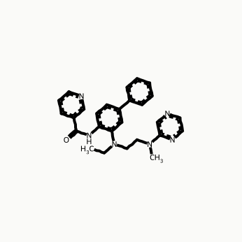 CCN(CCN(C)c1cnccn1)c1cc(-c2ccccc2)ccc1NC(=O)c1cccnc1